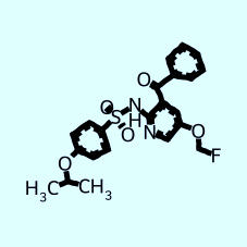 CC(C)Oc1ccc(S(=O)(=O)Nc2ncc(OCF)cc2C(=O)c2ccccc2)cc1